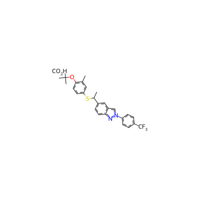 Cc1cc(SC(C)c2ccc3nn(-c4ccc(C(F)(F)F)cc4)cc3c2)ccc1OC(C)(C)C(=O)O